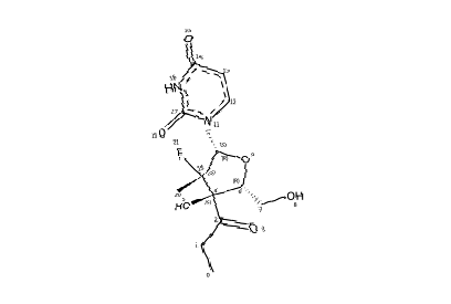 CCC(=O)[C@@]1(O)[C@@H](CO)O[C@@H](n2ccc(=O)[nH]c2=O)[C@@]1(C)F